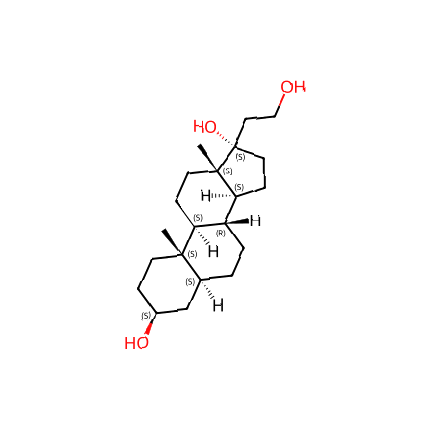 C[C@]12CC[C@H](O)C[C@@H]1CC[C@@H]1[C@@H]2CC[C@@]2(C)[C@H]1CC[C@]2(O)CCO